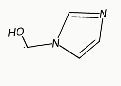 O[CH]n1ccnc1